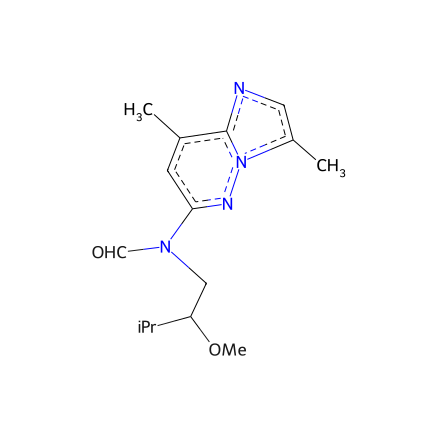 COC(CN(C=O)c1cc(C)c2ncc(C)n2n1)C(C)C